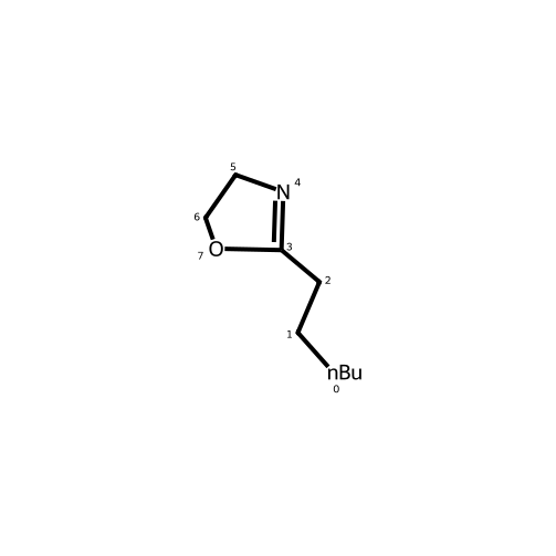 CCCCCCC1=NCCO1